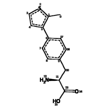 Cc1sccc1-c1ccc(C[C@H](N)C(=O)O)cc1